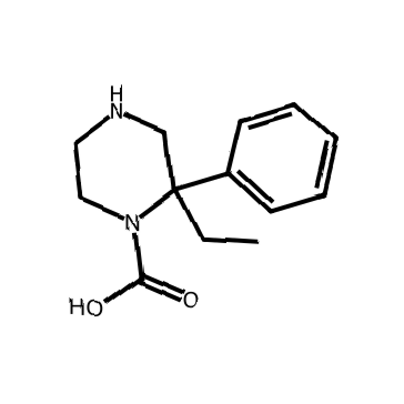 CCC1(c2ccccc2)CNCCN1C(=O)O